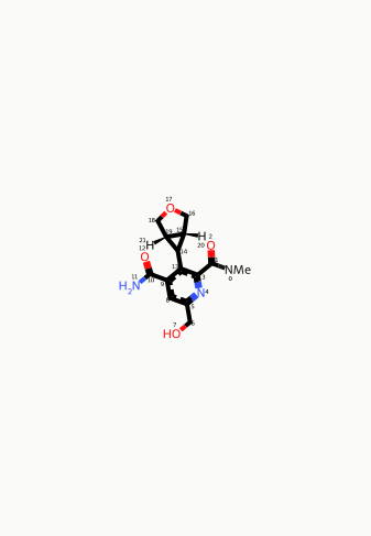 CNC(=O)c1nc(CO)cc(C(N)=O)c1C1[C@H]2COC[C@@H]12